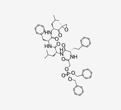 CC(C)C[C@H](NC(=O)[C@H](CCc1ccccc1)NC(=O)COP(=O)(OCc1ccccc1)OCc1ccccc1)C(=O)N[C@@H](Cc1ccccc1)C(=O)N[C@@H](CC(C)C)C(=O)[C@@]1(C)CO1